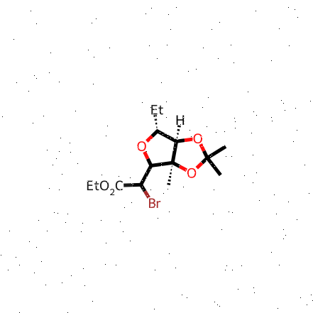 CCOC(=O)C(Br)C1O[C@H](CC)[C@H]2OC(C)(C)O[C@@]12C